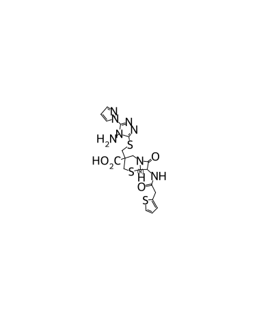 Nn1c(SCC2(C(=O)O)CS[C@@H]3C(NC(=O)Cc4cccs4)C(=O)N3C2)nnc1-n1cccn1